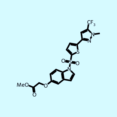 COC(=O)COc1ccc2c(ccn2S(=O)(=O)c2ccc(-c3cc(C(F)(F)F)n(C)n3)s2)c1